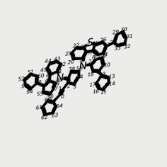 C(#Cc1ccc(N(c2cccc(-c3ccccc3)c2)c2cccc3sc4cc(-c5ccccc5)ccc4c23)cc1-n1c2ccccc2c2c(-c3ccccc3)cccc21)c1ccccc1